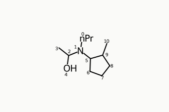 CCCN(C(C)O)C1CCCC1C